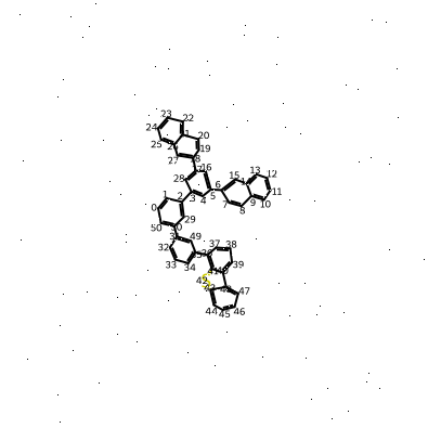 c1cc(-c2cc(-c3ccc4ccccc4c3)cc(-c3ccc4ccccc4c3)c2)cc(-c2cccc(-c3cccc4c3sc3ccccc34)c2)c1